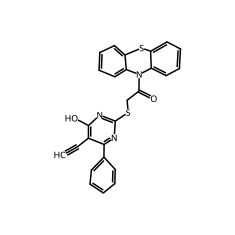 C#Cc1c(O)nc(SCC(=O)N2c3ccccc3Sc3ccccc32)nc1-c1ccccc1